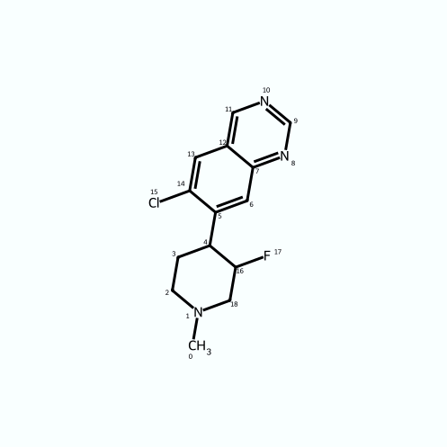 CN1CCC(c2cc3ncncc3cc2Cl)C(F)C1